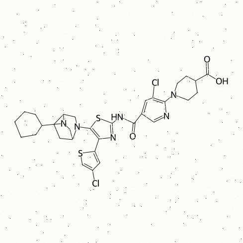 O=C(Nc1nc(-c2cc(Cl)cs2)c(N2CC3CCC2CN3C2CCCCC2)s1)c1cnc(N2CCC(C(=O)O)CC2)c(Cl)c1